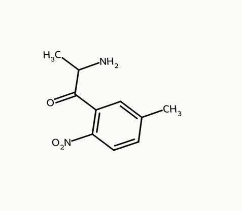 Cc1ccc([N+](=O)[O-])c(C(=O)C(C)N)c1